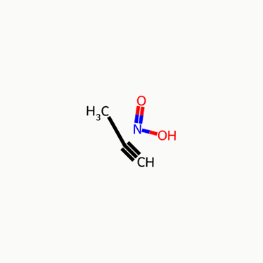 C#CC.O=NO